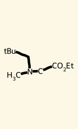 CCOC(=O)CN(C)CC(C)(C)C